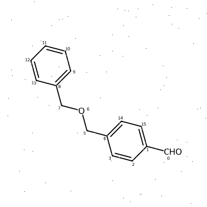 O=Cc1ccc(COCc2ccccc2)cc1